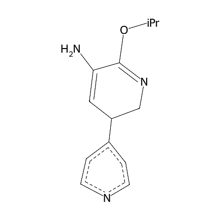 CC(C)OC1=NCC(c2ccncc2)C=C1N